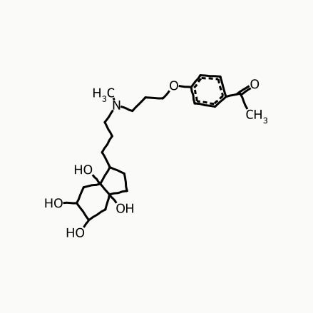 CC(=O)c1ccc(OCCCN(C)CCCC2CCC3(O)CC(O)C(O)CC23O)cc1